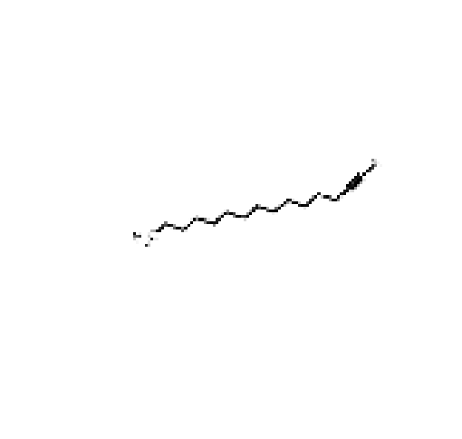 CCCCCCCCCCCCCC#C[P]